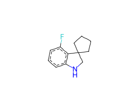 Fc1cccc2c1C1(CCCC1)CN2